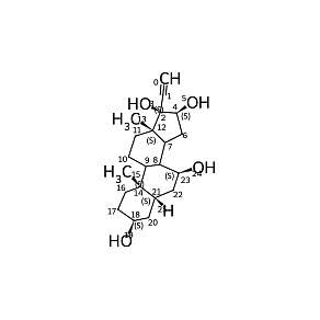 C#C[C@]1(O)[C@@H](O)CC2C3C(CC[C@@]21C)[C@@]1(C)CC[C@H](O)C[C@H]1C[C@@H]3O